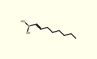 CCCCCC/C=C/B(O)O